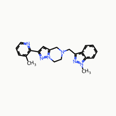 Cc1cccnc1-c1cc2n(n1)CCN(Cc1nn(C)c3ccccc13)C2